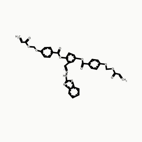 C=CC(=O)OCOc1ccc(C(=O)Oc2ccc(OC(=O)c3ccc(OCOC(=O)C=C)cc3)c(/C=N/Nc3nc4ccccc4s3)c2)cc1